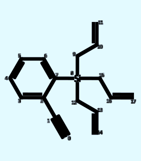 C#Cc1ccccc1[Si](CC=C)(CC=C)CC=C